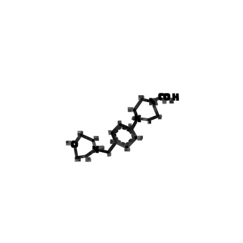 O=C(O)N1CCN(c2ccc(CN3CCOCC3)cc2)CC1